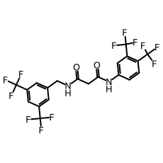 O=C(CC(=O)Nc1ccc(C(F)(F)F)c(C(F)(F)F)c1)NCc1cc(C(F)(F)F)cc(C(F)(F)F)c1